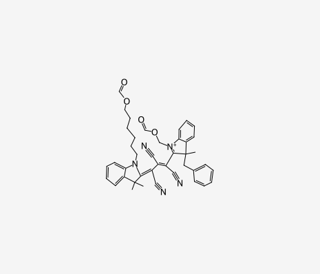 CC1(Cc2ccccc2)C(/C(C#N)=C(C#N)/C(C#N)=C2\N(CCCCCCOC=O)c3ccccc3C2(C)C)=[N+](COC=O)c2ccccc21